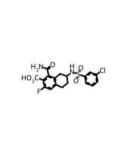 NC(=O)c1c2c(cc(F)c1C(=O)O)CCC(NS(=O)(=O)c1cccc(Cl)c1)C2